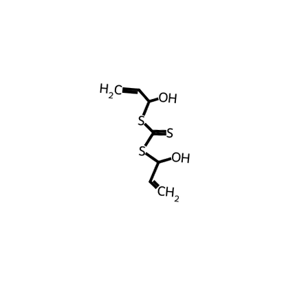 C=CC(O)SC(=S)SC(O)C=C